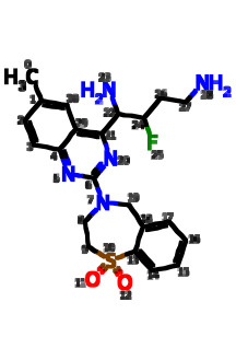 Cc1ccc2nc(N3CCS(=O)(=O)c4ccccc4C3)nc(C(N)C(F)CCN)c2c1